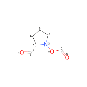 O=CON1CCC[C@H]1C=O